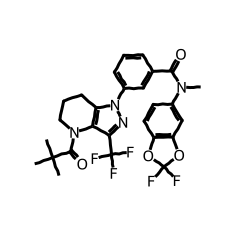 CN(C(=O)c1cccc(-n2nc(C(F)(F)F)c3c2CCCN3C(=O)C(C)(C)C)c1)c1ccc2c(c1)OC(F)(F)O2